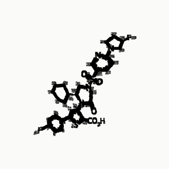 O=C(O)c1sc(-c2ccc(F)cc2)cc1N1C(=O)CN(S(=O)(=O)c2ccc(N3CC[C@@H](F)C3)nc2)C[C@H]1C1CCCCC1